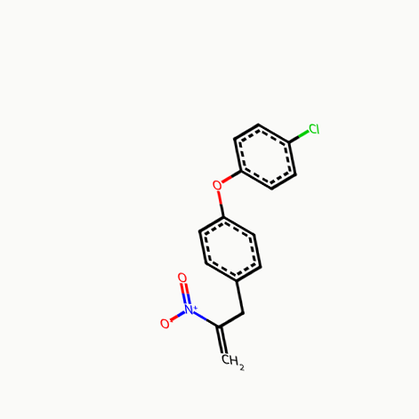 C=C(Cc1ccc(Oc2ccc(Cl)cc2)cc1)[N+](=O)[O-]